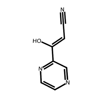 N#CC=C(O)c1cnccn1